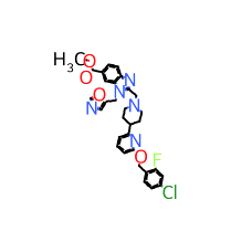 COC(=O)c1ccc2nc(CN3CCC(c4cccc(OCc5ccc(Cl)cc5F)n4)CC3)n(Cc3cnco3)c2c1